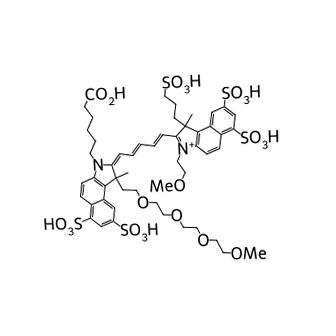 COCCOCCOCCOCCC1(C)\C(=C/C=C/C=C/C2=[N+](CCOC)c3ccc4c(S(=O)(=O)O)cc(S(=O)(=O)O)cc4c3C2(C)CCCS(=O)(=O)O)N(CCCCCC(=O)O)c2ccc3c(S(=O)(=O)O)cc(S(=O)(=O)O)cc3c21